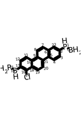 BPc1ccc2c(ccc3c4ccc(BP)c(Cl)c4ccc23)c1